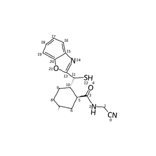 N#CCNC(=O)[C@H]1CCCC[C@@H]1C(S)c1nc2ccccc2o1